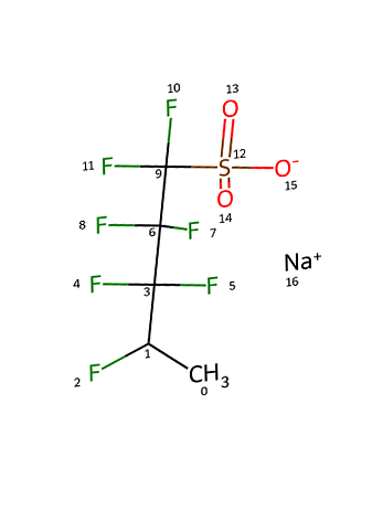 CC(F)C(F)(F)C(F)(F)C(F)(F)S(=O)(=O)[O-].[Na+]